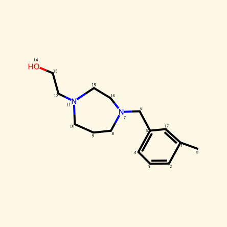 Cc1cccc(CN2CCCN(CCO)CC2)c1